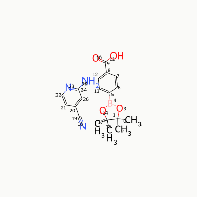 CC1(C)OB(c2ccc(C(=O)O)cc2)OC1(C)C.N#Cc1ccnc(N)c1